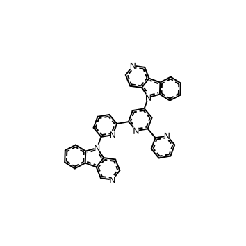 c1ccc(-c2cc(-n3c4ccccc4c4cnccc43)cc(-c3cccc(-n4c5ccccc5c5cnccc54)n3)n2)nc1